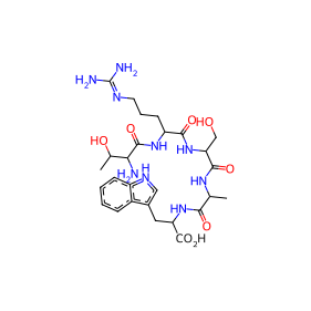 CC(NC(=O)C(CO)NC(=O)C(CCCN=C(N)N)NC(=O)C(N)C(C)O)C(=O)NC(Cc1c[nH]c2ccccc12)C(=O)O